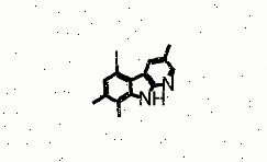 Cc1cnc2[nH]c3c(C)c(C)cc(I)c3c2c1